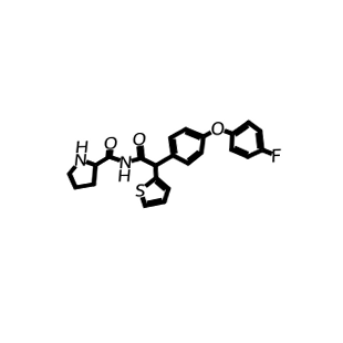 O=C(NC(=O)C(c1ccc(Oc2ccc(F)cc2)cc1)c1cccs1)C1CCCN1